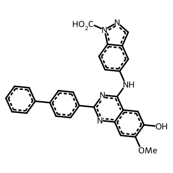 COc1cc2nc(-c3ccc(-c4ccccc4)cc3)nc(Nc3ccc4c(cnn4C(=O)O)c3)c2cc1O